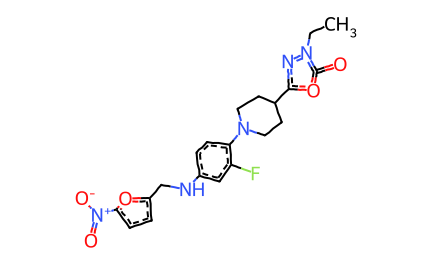 CCn1nc(C2CCN(c3ccc(NCc4ccc([N+](=O)[O-])o4)cc3F)CC2)oc1=O